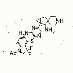 CC(=O)N1CC(F)(F)c2c(Sc3ncc(C45CC4CC4(CCNCC4)C5N)nc3N)cccc21